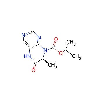 CC(C)OC(=O)N1c2ncncc2NC(=O)[C@@H]1C